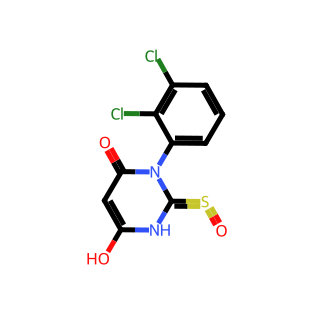 O=S=c1[nH]c(O)cc(=O)n1-c1cccc(Cl)c1Cl